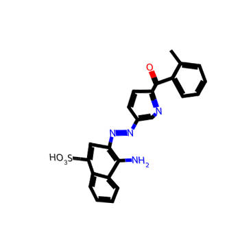 Cc1ccccc1C(=O)c1ccc(N=Nc2cc(S(=O)(=O)O)c3ccccc3c2N)cn1